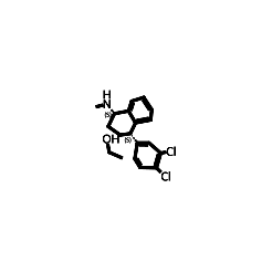 CCO.CN[C@H]1CC[C@@H](c2ccc(Cl)c(Cl)c2)c2ccccc21